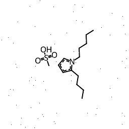 CCCCCn1cccc1CCCC.CS(=O)(=O)O